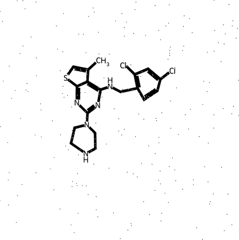 Cc1csc2nc(N3CCNCC3)nc(NCc3ccc(Cl)cc3Cl)c12